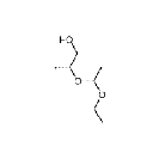 CCOC(C)O[C@H](C)CO